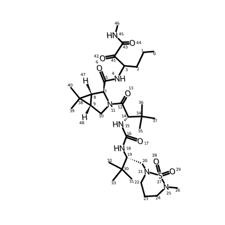 CCCC(NC(=O)[C@@H]1[C@@H]2[C@H](CN1C(=O)[C@@H](NC(=O)N[C@H](CN1CCCN(C)S1(=O)=O)C(C)(C)C)C(C)(C)C)C2(C)C)C(=O)C(=O)NC